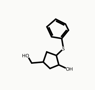 OCC1CC(O)C(Sc2ccccc2)C1